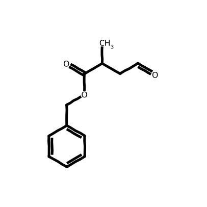 CC(CC=O)C(=O)OCc1ccccc1